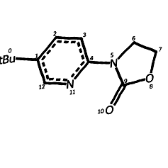 CC(C)(C)c1ccc(N2CCOC2=O)nc1